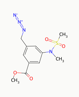 COC(=O)c1cc(CN=[N+]=[N-])cc(N(C)S(C)(=O)=O)c1